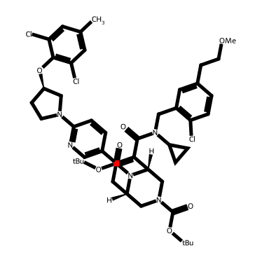 COCCc1ccc(Cl)c(CN(C(=O)C2=C(c3ccc(N4CC[C@@H](Oc5c(Cl)cc(C)cc5Cl)C4)nc3)C[C@H]3CN(C(=O)OC(C)(C)C)C[C@@H]2N3C(=O)OC(C)(C)C)C2CC2)c1